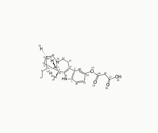 CC[C@H]1C[C@@H]2C[C@H]3c4[nH]c5ccc(OC(=O)CC(=O)O)cc5c4CCN(C2)[C@@H]13